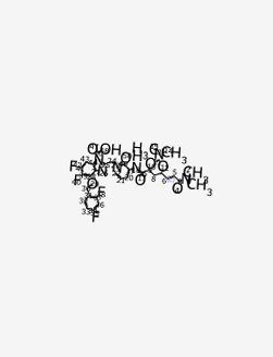 CN(C)C(=O)/C=C/CCC(OC(=O)N(C)C)C(=O)Nc1cccn(Cc2nc3c(OCc4ccc(F)cc4F)c(F)c(F)cc3n2C(=O)O)c1=O